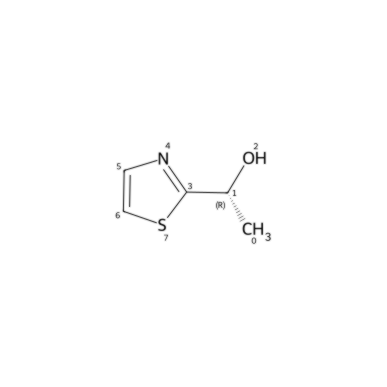 C[C@@H](O)c1nccs1